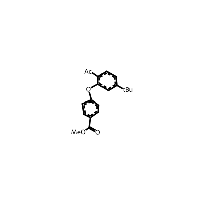 COC(=O)c1ccc(Oc2cc(C(C)(C)C)ccc2C(C)=O)cc1